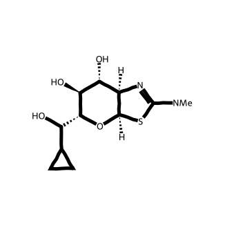 CNC1=N[C@@H]2[C@@H](O)[C@H](O)[C@@H](C(O)C3CC3)O[C@@H]2S1